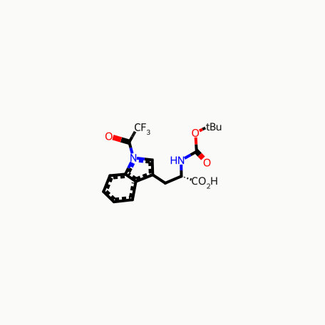 CC(C)(C)OC(=O)N[C@@H](Cc1cn(C(=O)C(F)(F)F)c2ccccc12)C(=O)O